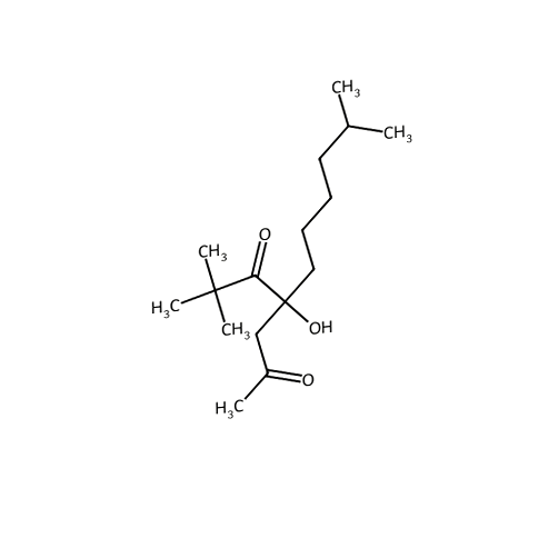 CC(=O)CC(O)(CCCCC(C)C)C(=O)C(C)(C)C